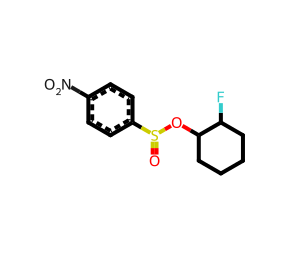 O=[N+]([O-])c1ccc(S(=O)OC2CCCCC2F)cc1